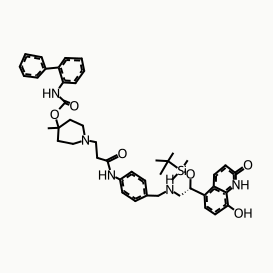 CC1(OC(=O)Nc2ccccc2-c2ccccc2)CCN(CCC(=O)Nc2ccc(CNC[C@H](O[Si](C)(C)C(C)(C)C)c3ccc(O)c4[nH]c(=O)ccc34)cc2)CC1